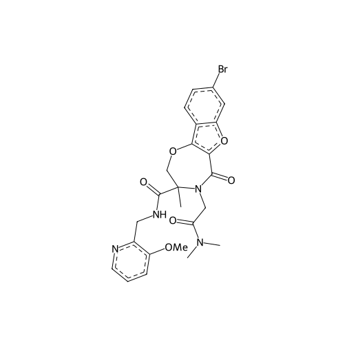 COc1cccnc1CNC(=O)C1(C)COc2c(oc3cc(Br)ccc23)C(=O)N1CC(=O)N(C)C